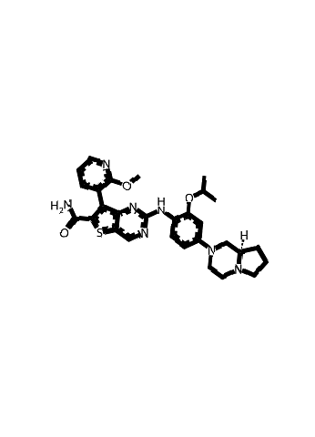 COc1ncccc1-c1c(C(N)=O)sc2cnc(Nc3ccc(N4CCN5CCC[C@@H]5C4)cc3OC(C)C)nc12